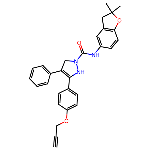 C#CCOc1ccc(C2=C(c3ccccc3)CN(C(=O)Nc3ccc4c(c3)CC(C)(C)O4)N2)cc1